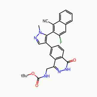 Cn1ncc(-c2ccc3c(=O)[nH]nc(CNC(=O)OC(C)(C)C)c3c2)c1-c1c(F)cc2ccccc2c1C#N